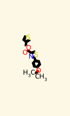 CC(C)Oc1ccc(-c2nc(C(=O)OCc3ccsc3)cs2)cc1